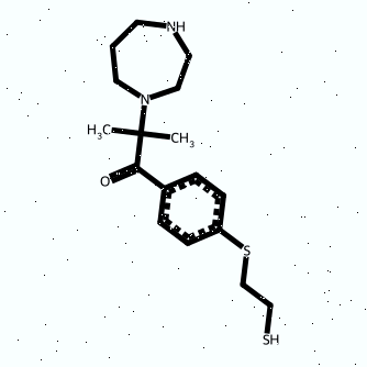 CC(C)(C(=O)c1ccc(SCCS)cc1)N1CCCNCC1